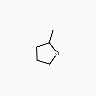 C[C]1CC[CH]O1